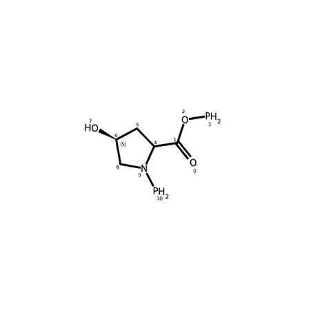 O=C(OP)C1C[C@H](O)CN1P